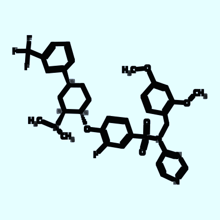 COc1ccc(CN(c2ccncn2)S(=O)(=O)c2ccc(O[C@H]3CC[C@H](c4cccc(C(F)(F)F)c4)C[C@@H]3N(C)C)c(F)c2)c(OC)c1